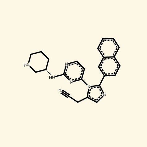 N#CCc1cnc(-c2ccc3ccccc3c2)n1-c1ccnc(N[C@H]2CCCNC2)n1